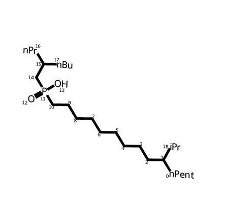 CCCCCC(CCCCCCCCCP(=O)(O)CC(CCC)CCCC)C(C)C